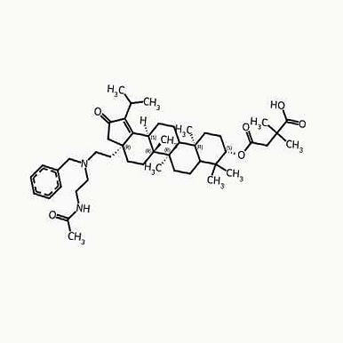 CC(=O)NCCN(CC[C@@]12CC[C@]3(C)[C@H](CCC4[C@@]5(C)CC[C@H](OC(=O)CC(C)(C)C(=O)O)C(C)(C)C5CC[C@]43C)C1=C(C(C)C)C(=O)C2)Cc1ccccc1